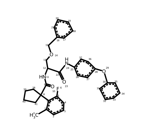 Cc1cccc(F)c1C1(C(=O)NC(COCc2ccccc2)C(=O)Nc2ccc(Oc3ccccc3)cc2)CCCC1